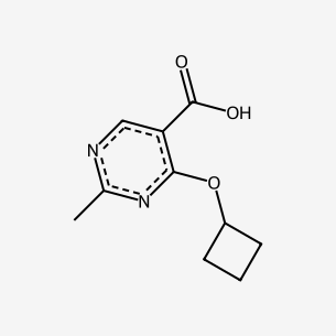 Cc1ncc(C(=O)O)c(OC2CCC2)n1